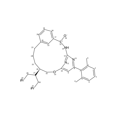 Cc1cccc(C)c1-c1cc2nc(n1)N[S+]([O-])c1cccc(c1)CCC[C@H](C(CC(C)C)CC(C)C)CO2